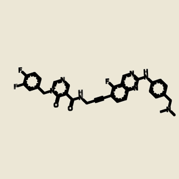 CN(C)Cc1ccc(Nc2ncc3c(F)c(C#CCNC(=O)c4cncn(Cc5ccc(F)c(F)c5)c4=O)ccc3n2)cc1